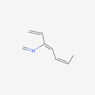 C=C/C(=C/C=C\C)N=C